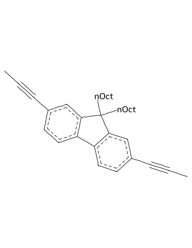 CC#Cc1ccc2c(c1)C(CCCCCCCC)(CCCCCCCC)c1cc(C#CC)ccc1-2